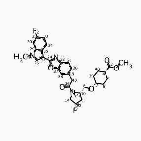 COC(=O)[C@H]1CC[C@H](OC[C@@H]2C[C@H](F)CN2C(=O)Cc2ccc3nc(-c4cn(C)c5cc(F)ccc45)oc3c2)CC1